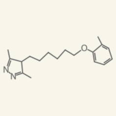 CC1=NN=C(C)C1CCCCCCOc1ccccc1C